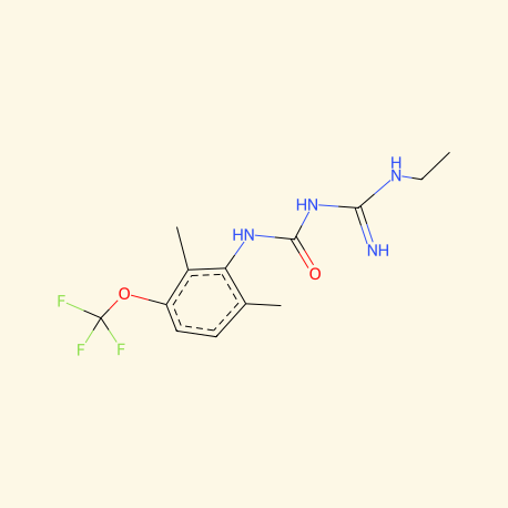 CCNC(=N)NC(=O)Nc1c(C)ccc(OC(F)(F)F)c1C